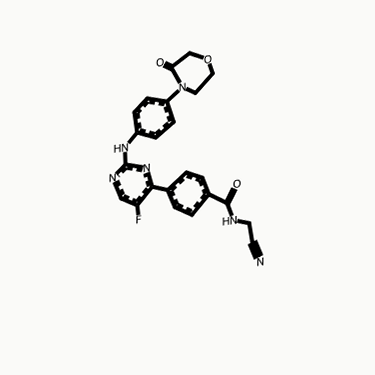 N#CCNC(=O)c1ccc(-c2nc(Nc3ccc(N4CCOCC4=O)cc3)ncc2F)cc1